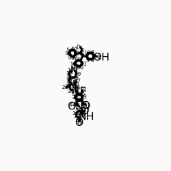 CCC(=C(c1ccc(O)cc1)c1ccc(N2CCC(CN3C(C)CN(c4cc5c(cc4F)C(=O)N(C4CCC(=O)NC4=O)C5=O)CC3C)CC2)cc1)c1ccccc1